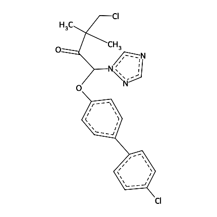 CC(C)(CCl)C(=O)C(Oc1ccc(-c2ccc(Cl)cc2)cc1)n1cncn1